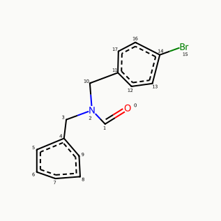 O=CN(Cc1ccccc1)Cc1ccc(Br)cc1